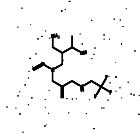 C=NN(CC(=C)CNCC(F)(F)F)CC(CN)C(C)O